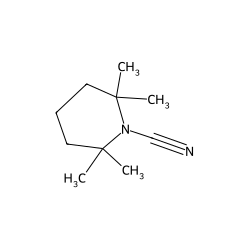 CC1(C)CCCC(C)(C)N1C#N